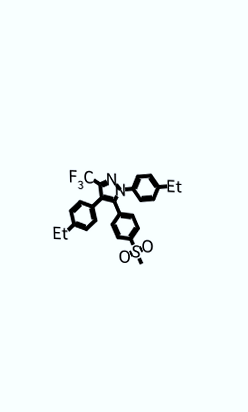 CCc1ccc(-c2c(C(F)(F)F)nn(-c3ccc(CC)cc3)c2-c2ccc(S(C)(=O)=O)cc2)cc1